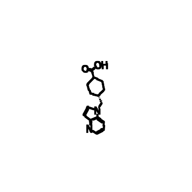 O=C(O)[C@H]1CC[C@H](Cn2ccc3ncccc32)CC1